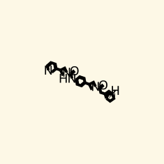 O=C(CC1C[C@@H]2CCC1C2)N1CC(c2ccc(NC(=O)N3CC(c4cccnc4)C3)cc2)C1